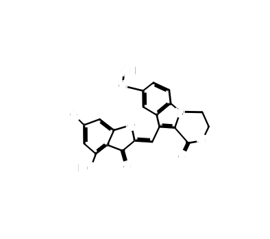 COc1ccc2c(c1)c(C=C1Oc3cc(O)cc(O)c3C1=O)c1n2CCOC1=O